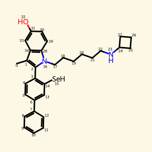 Cc1c(-c2ccc(-c3ccccc3)cc2[SeH])n(CCCCCCNC2CCC2)c2ccc(O)cc12